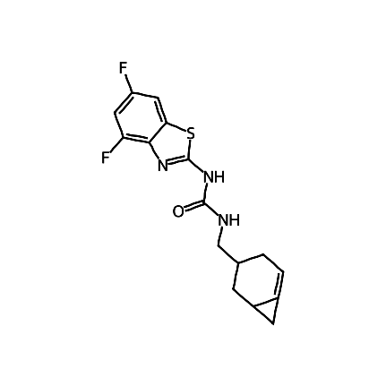 O=C(NCC1CC=C2CC2C1)Nc1nc2c(F)cc(F)cc2s1